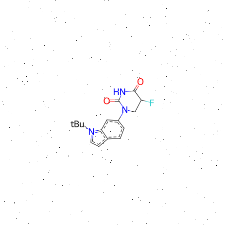 CC(C)(C)n1ccc2ccc(N3CC(F)C(=O)NC3=O)cc21